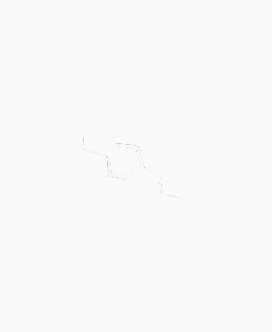 OCc1ccc(C=NO)cc1